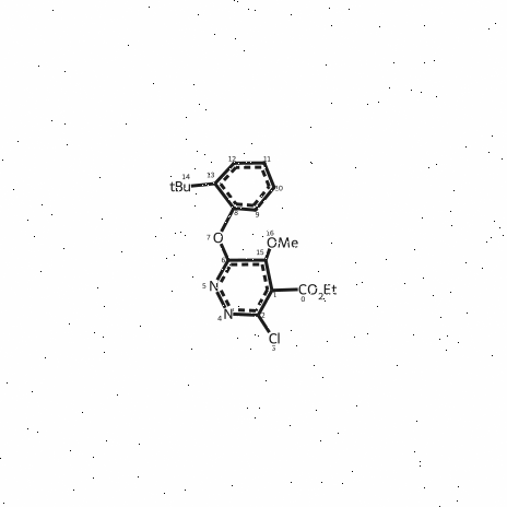 CCOC(=O)c1c(Cl)nnc(Oc2ccccc2C(C)(C)C)c1OC